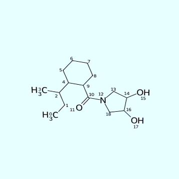 CCC(C)C1CCCCC1C(=O)N1CC(O)C(O)C1